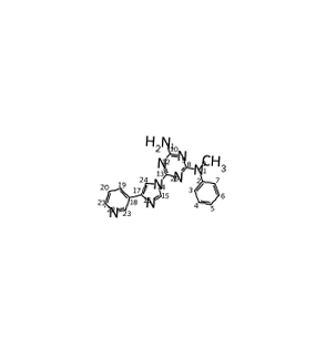 CN(c1ccccc1)c1nc(N)nc(-n2cnc(-c3cc[c]nc3)c2)n1